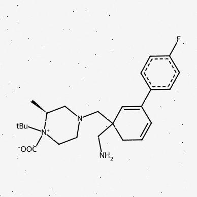 C[C@H]1CN(CC2(CN)C=C(c3ccc(F)cc3)C=CC2)CC[N+]1(C(=O)[O-])C(C)(C)C